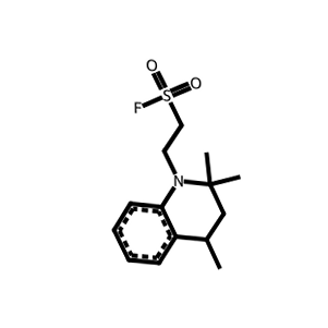 CC1CC(C)(C)N(CCS(=O)(=O)F)c2ccccc21